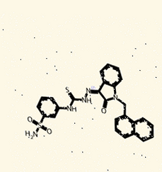 NS(=O)(=O)c1cccc(NC(=S)N/N=C2\C(=O)N(Cc3cccc4ccccc34)c3ccccc32)c1